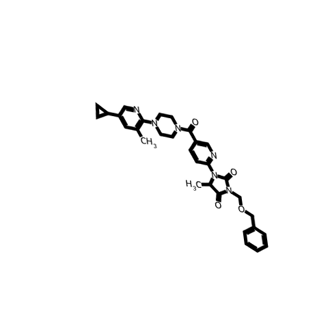 Cc1cc(C2CC2)cnc1N1CCN(C(=O)c2ccc(N3C(=O)N(COCc4ccccc4)C(=O)C3C)nc2)CC1